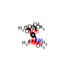 CCC(C)N[C@@](Cc1ccc(OC(=O)C(C)C(C)C)c(OC(=O)C(C)C(C)C)c1)(OC(=O)OC)C(=O)O